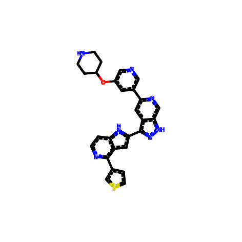 c1cc2[nH]c(-c3n[nH]c4cnc(-c5cncc(OC6CCNCC6)c5)cc34)cc2c(-c2ccsc2)n1